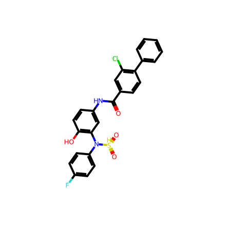 O=C(Nc1ccc(O)c(N(c2ccc(F)cc2)[SH](=O)=O)c1)c1ccc(-c2ccccc2)c(Cl)c1